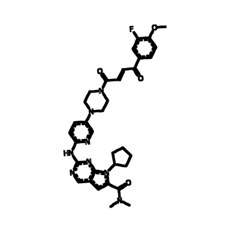 COc1ccc(C(=O)/C=C/C(=O)N2CCN(c3ccc(Nc4ncc5cc(C(=O)N(C)C)n(C6CCCC6)c5n4)nc3)CC2)cc1F